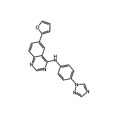 c1coc(-c2ccc3ncnc(Nc4ccc(-n5cncn5)cc4)c3c2)c1